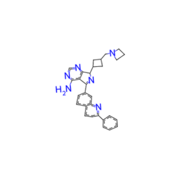 Nc1ncnc2c1C(c1ccc3ccc(-c4ccccc4)nc3c1)=NC2C1CC(CN2CCC2)C1